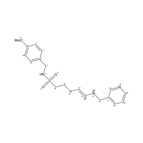 COc1ccc(CNS(=O)(=O)CCOC=[SH]NCc2cccnc2)cc1